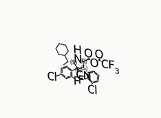 CC(C1CCCCC1)[C@@H]1N[C@@H](C(=O)OC(=O)C(F)(F)F)[C@H](c2cccc(Cl)c2F)[C@@]1(C#N)c1ccc(Cl)cc1F